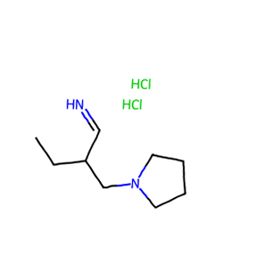 CCC(C=N)CN1CCCC1.Cl.Cl